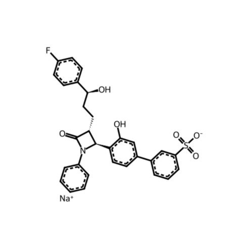 O=C1[C@H](CC[C@H](O)c2ccc(F)cc2)[C@@H](c2ccc(-c3cccc(S(=O)(=O)[O-])c3)cc2O)N1c1ccccc1.[Na+]